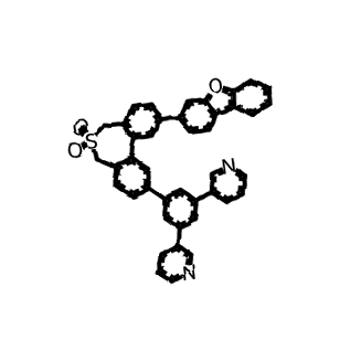 O=S1(=O)Cc2ccc(-c3cc(-c4cccnc4)cc(-c4cccnc4)c3)cc2-c2cc(-c3ccc4c(c3)oc3ccccc34)ccc2C1